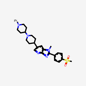 CC(C)N1CCC(N2CCC(c3cnc4nc(-c5ccc(S(C)(=O)=O)cc5)n(C)c4c3)CC2)CC1